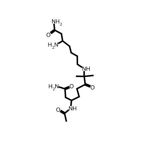 CC(=O)NC(CCC(=O)C(C)(C)NCCCCC(N)CC(N)=O)CC(N)=O